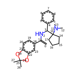 C=C(NC(c1ccccc1)C1(N(C)C)CCCC1)c1ccc2c(c1)OC(C)(C)O2